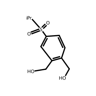 CC(C)S(=O)(=O)c1ccc(CO)c(CO)c1